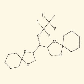 CC(F)(F)C(F)(F)OC(C1COC2(CCCCC2)O1)C1COC2(CCCCC2)O1